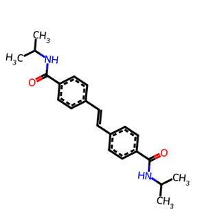 CC(C)NC(=O)c1ccc(C=Cc2ccc(C(=O)NC(C)C)cc2)cc1